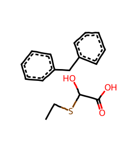 CCSC(O)C(=O)O.c1ccc(Cc2ccccc2)cc1